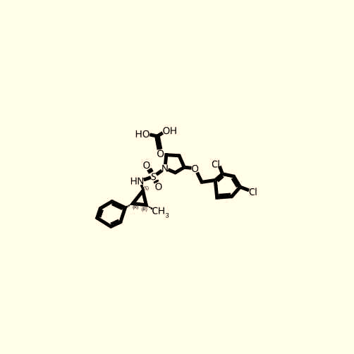 C[C@H]1[C@H](NS(=O)(=O)N2CCC(OCc3ccc(Cl)cc3Cl)C2)[C@H]1c1ccccc1.O=C(O)O